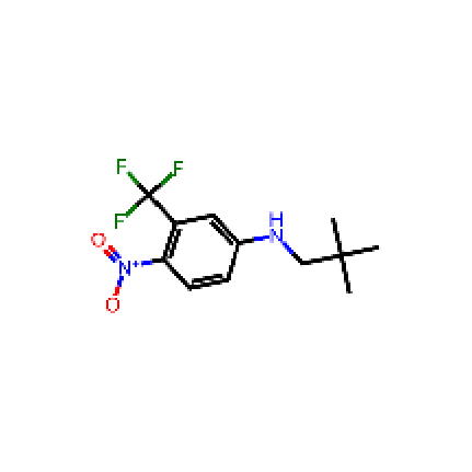 CC(C)(C)CNc1ccc([N+](=O)[O-])c(C(F)(F)F)c1